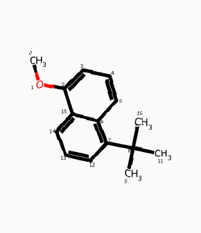 COc1cccc2c(C(C)(C)C)cccc12